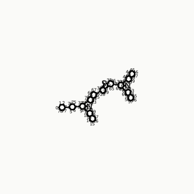 c1ccc(-c2ccc(-c3cc4c5cc6ccccc6cc5n5c6cc7cc(-c8ccc9c(c8)sc8ccc(-c%10cc%11c%12cc%13ccccc%13cc%12n%12c%13cc%14ccccc%14cc%13c(c%10)c%11%12)cc89)ccc7cc6c(c3)c45)cc2)cc1